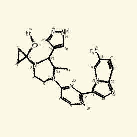 CCOC1(N2CCN(c3ccnc(-c4cnc5ccc(C(F)(F)F)cn45)n3)C(C)C2c2cn[nH]c2)CC1